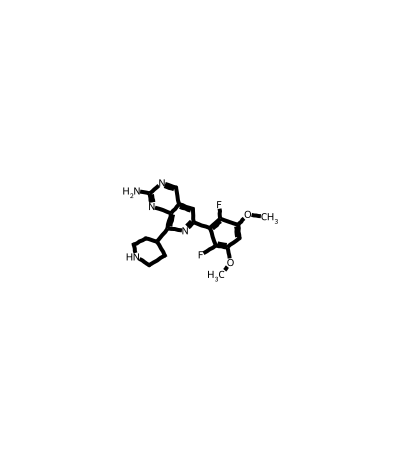 COc1cc(OC)c(F)c(-c2cc3cnc(N)nc3c(C3CCNCC3)n2)c1F